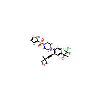 CC1(C#Cc2cc(C(C)(O)C(F)(F)F)ccc2N2CCN(S(=O)(=O)c3cccs3)CC2)COC1